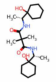 C[C@@H](NC(=O)C(C)(C)C(=O)N[C@H](C)C1(O)CCCCC1)C1(O)CCCCC1